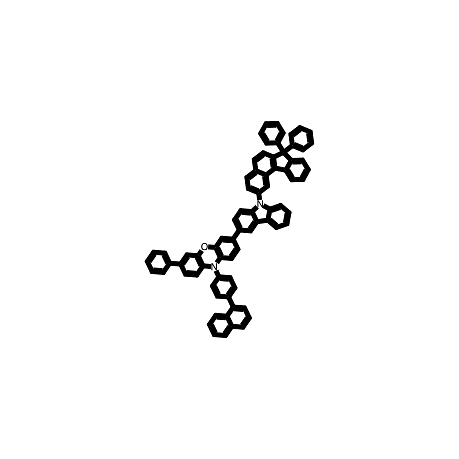 c1ccc(-c2ccc3c(c2)Oc2cc(-c4ccc5c(c4)c4ccccc4n5-c4ccc5ccc6c(c5c4)-c4ccccc4C6(c4ccccc4)c4ccccc4)ccc2N3c2ccc(-c3cccc4ccccc34)cc2)cc1